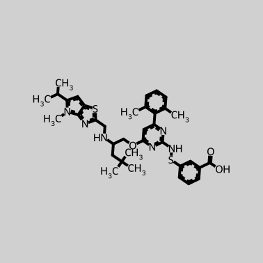 Cc1cccc(C)c1-c1cc(OCC(CC(C)(C)C)NCc2nc3c(cc(C(C)C)n3C)s2)nc(NSc2cccc(C(=O)O)c2)n1